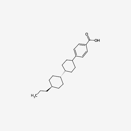 CCC[C@H]1CC[C@H](C2CCC(c3ccc(C(=O)O)cc3)CC2)CC1